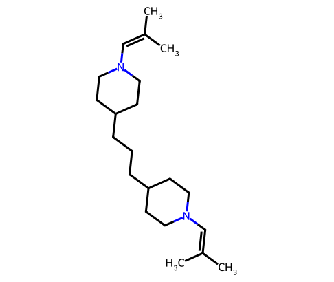 CC(C)=CN1CCC(CCCC2CCN(C=C(C)C)CC2)CC1